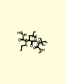 CCC[C@@H](C(=O)NO)C(CC(C)C)C(=O)N[C@H](C(=O)NC)C(C)(C)C